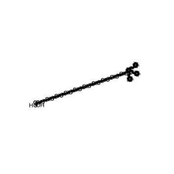 O=P(O)(O)OCCOCCOCCOCCOCCOCCOCCOCCOCCOCCOCCOCCOCCOCCOCCOCCOCCOCCOCCOc1ccc(C=Cc2ccccc2)c(C=Cc2ccccc2)c1C=Cc1ccccc1